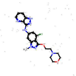 Cn1nc(OCCN2CCOCC2)c2c(Cl)cc(Nc3n[nH]c4cccnc34)cc21